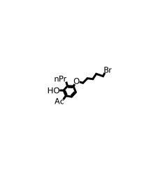 CCCc1c(OCCCCCBr)ccc(C(C)=O)c1O